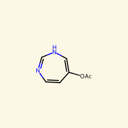 CC(=O)OC1=CNC=NC=C1